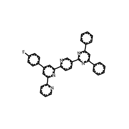 Fc1ccc(-c2cc(-c3ccccn3)nc(-c3ccc(-c4nc(-c5ccccc5)cc(-c5ccccc5)n4)cn3)c2)cc1